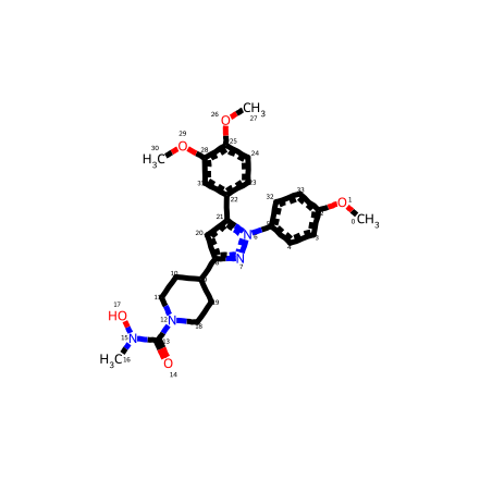 COc1ccc(-n2nc(C3CCN(C(=O)N(C)O)CC3)cc2-c2ccc(OC)c(OC)c2)cc1